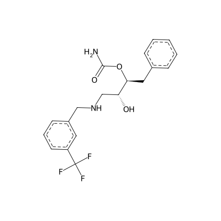 NC(=O)O[C@@H](Cc1ccccc1)[C@H](O)CNCc1cccc(C(F)(F)F)c1